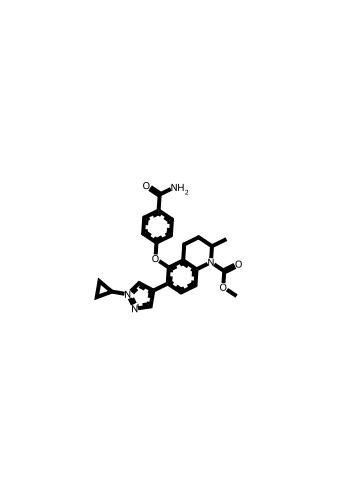 COC(=O)N1c2ccc(-c3cnn(C4CC4)c3)c(Oc3ccc(C(N)=O)cc3)c2CCC1C